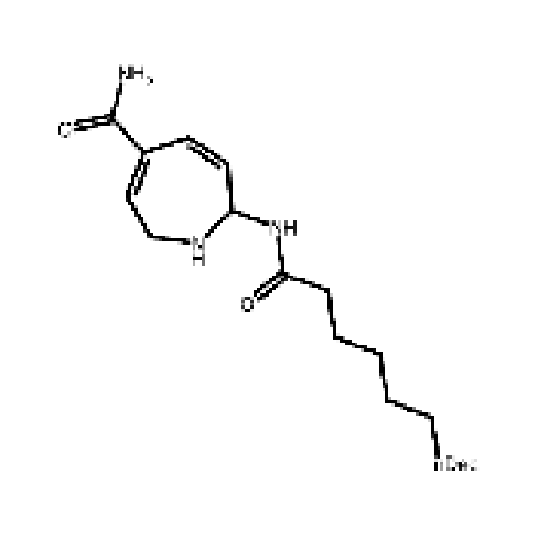 CCCCCCCCCCCCCCCC(=O)NC1C=CC(C(N)=O)=CCN1